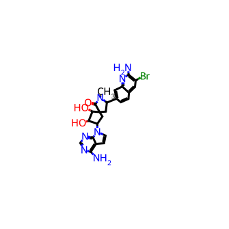 CN1C(=O)C2(CC1c1ccc3cc(Br)c(N)nc3c1)CC(n1ccc3c(N)ncnc31)C(O)C2O